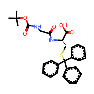 CC(C)(C)OC(=O)NCC(=O)N[C@@H](CSC(c1ccccc1)(c1ccccc1)c1ccccc1)C(=O)O